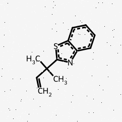 C=CC(C)(C)c1nc2ccccc2s1